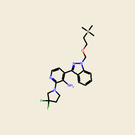 C[Si](C)(C)CCOCn1nc(-c2ccnc(N3CCC(F)(F)C3)c2N)c2ccccc21